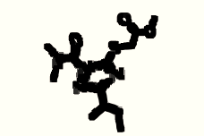 CCC(C)c1nc(SCC(=O)OC)n(C(=O)N(C)C)n1